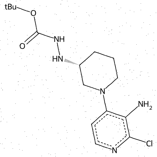 CC(C)(C)OC(=O)NN[C@@H]1CCCN(c2ccnc(Cl)c2N)C1